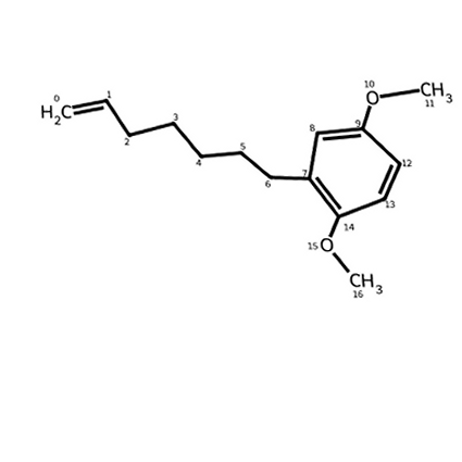 C=CCCCCCc1cc(OC)ccc1OC